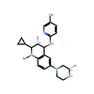 CC(=O)N1c2ccc(N3CCN[C@@H](C)C3)cc2C(Nc2ccc(C#N)cn2)[C@@H](C)C1C1CC1